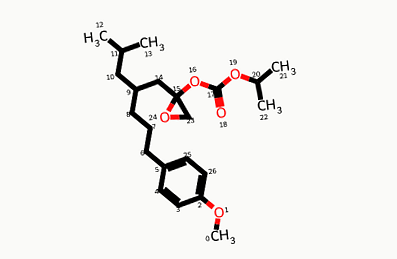 COc1ccc(CCCC(CC(C)C)CC2(OC(=O)OC(C)C)CO2)cc1